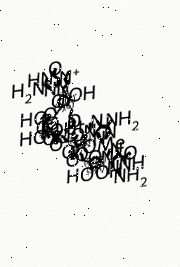 CCOCC[C@H]1[C@@H](O)[C@H](n2c[n+](C)c3c(=O)[nH]c(N)nc32)O[C@@H]1COP(=O)(O)OP(=O)(O)OP(=O)(O)OC[C@H]1O[C@@H](n2cnc3c(N)ncnc32)[C@H](OC)[C@@H]1P(=O)([O-])OC[C@H]1O[C@@H](n2cnc3c(=O)[nH]c(N)nc32)[C@H](O)[C@@H]1O